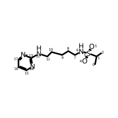 CC(C)S(=O)(=O)NCCCCCNc1ncccn1